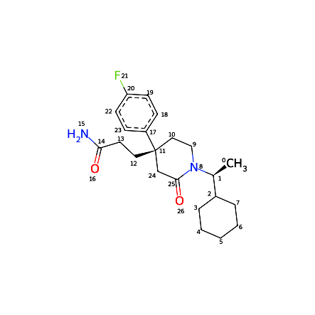 C[C@@H](C1CCCCC1)N1CC[C@@](CCC(N)=O)(c2ccc(F)cc2)CC1=O